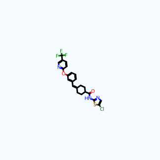 O=C(Nc1ncc(Cl)s1)C1CCC(=Cc2cccc(Oc3ccc(C(F)(F)F)cn3)c2)CC1